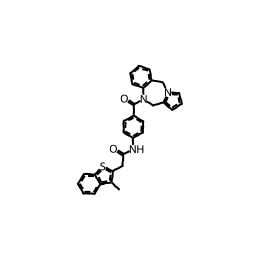 Cc1c(CC(=O)Nc2ccc(C(=O)N3Cc4cccn4Cc4ccccc43)cc2)sc2ccccc12